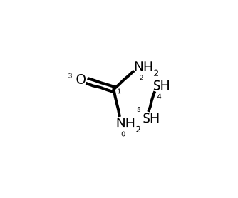 NC(N)=O.SS